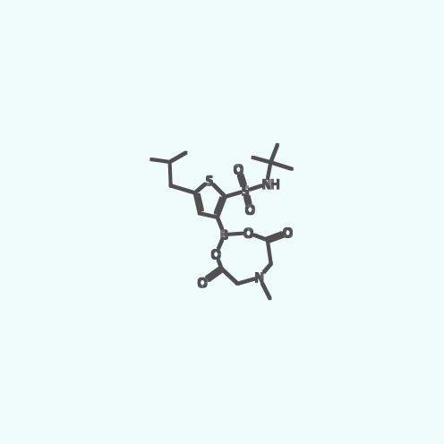 CC(C)Cc1cc(B2OC(=O)CN(C)CC(=O)O2)c(S(=O)(=O)NC(C)(C)C)s1